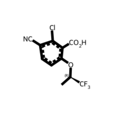 C[C@@H](Oc1ccc(C#N)c(Cl)c1C(=O)O)C(F)(F)F